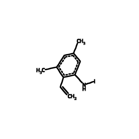 C=Cc1c(C)cc(C)cc1NI